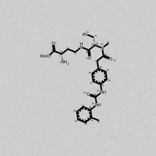 COC(=O)[C@@H](N)CCNC(=O)[C@H](CC(C)C)N(C)C(=O)Cc1ccc(NC(=O)Nc2ccccc2C)cc1